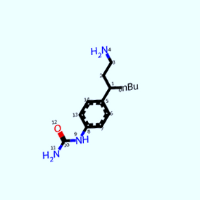 CCCCC(CCN)c1ccc(NC(N)=O)cc1